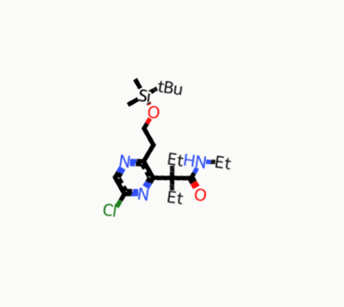 CCNC(=O)C(CC)(CC)c1nc(Cl)cnc1CCO[Si](C)(C)C(C)(C)C